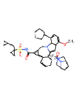 COC1=CC=C(C2CCCCC2)C2C1C=C1C3C(=C4C(=C4C(=O)NS(=O)(=O)C4(CC5CC5)CC4)CN12)C=CC[C@H]3C(=O)N1C2CCC1CN(C)C2